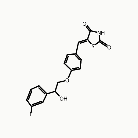 O=C1NC(=O)C(=Cc2ccc(OCC(O)c3cccc(F)c3)cc2)S1